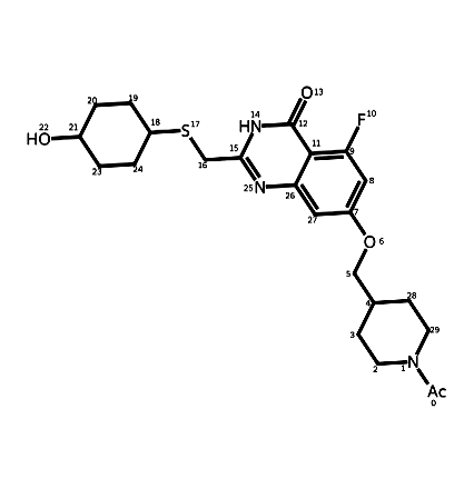 CC(=O)N1CCC(COc2cc(F)c3c(=O)[nH]c(CSC4CCC(O)CC4)nc3c2)CC1